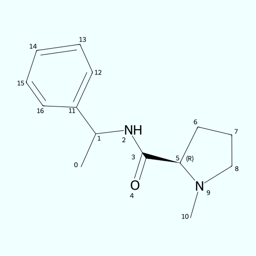 CC(NC(=O)[C@H]1CCCN1C)c1ccccc1